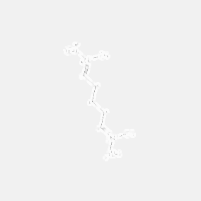 CC(C)(C)/[N+]([O-])=C/CCC/C=[N+](\[O-])C(C)(C)C